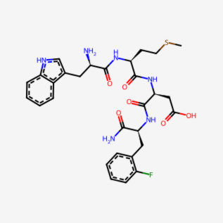 CSCC[C@H](NC(=O)[C@H](N)Cc1c[nH]c2ccccc12)C(=O)N[C@@H](CC(=O)O)C(=O)N[C@@H](Cc1ccccc1F)C(N)=O